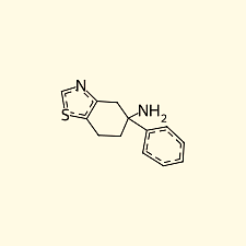 NC1(c2ccccc2)CCc2scnc2C1